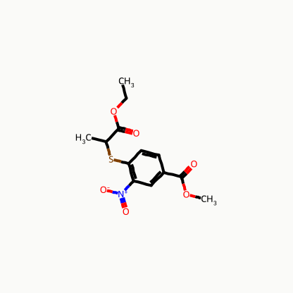 CCOC(=O)C(C)Sc1ccc(C(=O)OC)cc1[N+](=O)[O-]